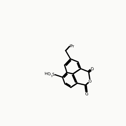 CC(C)Cc1cc2c3c(ccc(S(=O)(=O)O)c3c1)C(=O)OC2=O